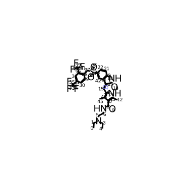 CCN(CC)CCNC(=O)c1c(C)[nH]c(/C=C2\C(=O)Nc3ccc(S(=O)(=O)Cc4ccc(C(F)(F)F)cc4C(F)(F)F)cc32)c1C